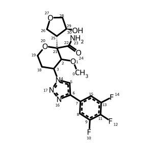 COC1C(n2cc(-c3cc(F)c(F)c(F)c3)nn2)CCOC1(C(N)=O)[C@@H]1COC[C@H]1O